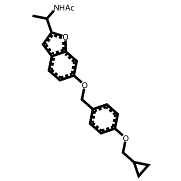 CC(=O)NC(C)c1cc2ccc(OCc3ccc(OCC4CC4)cc3)cc2o1